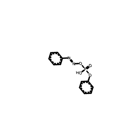 O=P(O)(ON=Nc1ccccc1)Oc1ccccc1